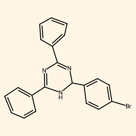 Brc1ccc(C2N=C(c3ccccc3)N=C(c3ccccc3)N2)cc1